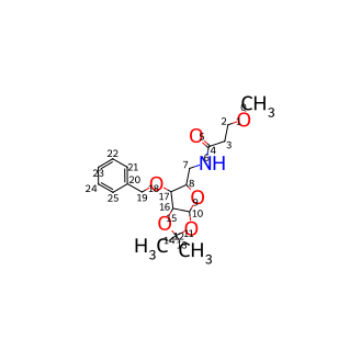 COCCC(=O)NCC1OC2OC(C)(C)OC2C1OCc1ccccc1